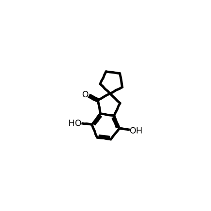 O=C1c2c(O)ccc(O)c2CC12CCCC2